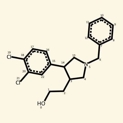 OCCC1CN(Cc2ccccc2)CC1c1ccc(Cl)c(Cl)c1